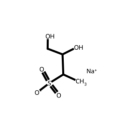 CC(C(O)CO)S(=O)(=O)[O-].[Na+]